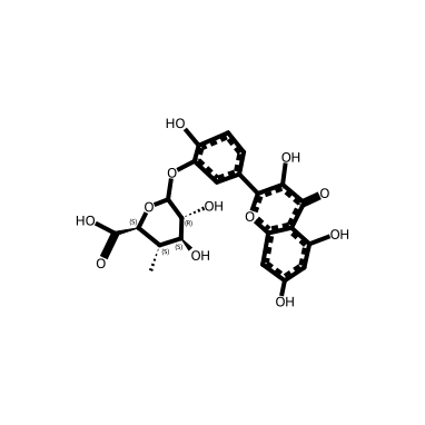 C[C@H]1[C@H](O)[C@@H](O)C(Oc2cc(-c3oc4cc(O)cc(O)c4c(=O)c3O)ccc2O)O[C@@H]1C(=O)O